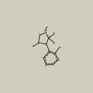 Cc1ccccc1C1C(C)CN(C)C1(C)C